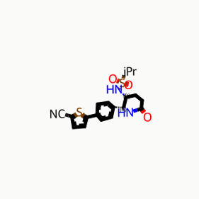 CC(C)S(=O)(=O)N[C@@H]1CCC(=O)N[C@@H]1c1ccc(-c2ccc(C#N)s2)cc1